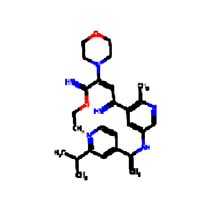 C=C(Nc1cnc(C)c(C(=N)/C=C(\C(=N)OCC)N2CCOCC2)c1)c1ccnc(C(C)C)c1